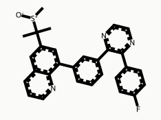 C[S+]([O-])C(C)(C)c1cc(-c2cccc(-c3nccnc3-c3ccc(F)cc3)c2)c2ncccc2c1